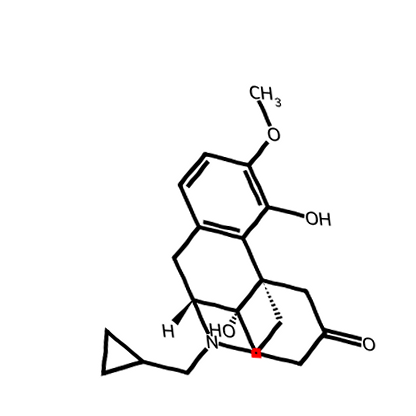 COc1ccc2c(c1O)[C@]13CCN(CC4CC4)[C@H](C2)[C@]1(O)CCC(=O)C3